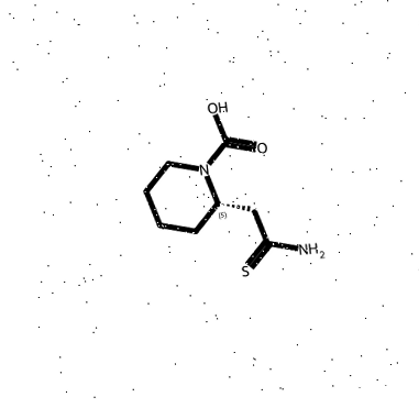 NC(=S)C[C@@H]1CCCCN1C(=O)O